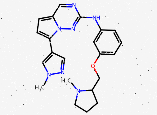 CN1CCCC1COc1cccc(Nc2ncc3ccc(-c4cnn(C)c4)n3n2)c1